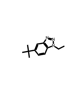 CCn1nnc2cc(C(C)(C)C)ccc21